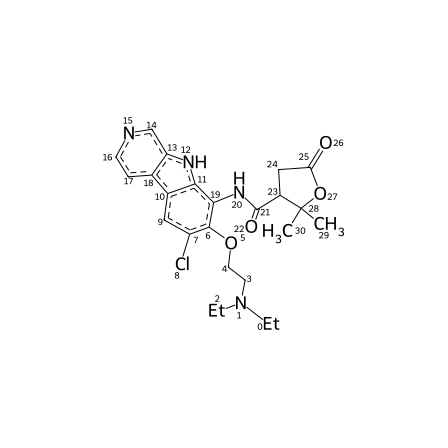 CCN(CC)CCOc1c(Cl)cc2c([nH]c3cnccc32)c1NC(=O)C1CC(=O)OC1(C)C